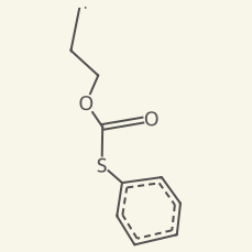 [CH2]CCOC(=O)Sc1ccccc1